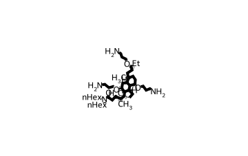 CCCCCCN(CCCCCC)C(=O)CC[C@@H](C)[C@H]1CC[C@H]2C3[C@H](OCCCN)CC[C@](C)(CC[C@H](CC)OCCCN)[C@H]3C[C@H](OCCCN)[C@]12C